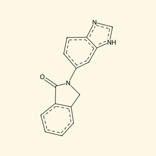 O=C1c2ccccc2CN1c1ccc2nc[nH]c2c1